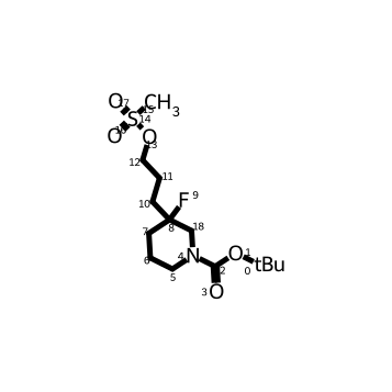 CC(C)(C)OC(=O)N1CCCC(F)(CCCOS(C)(=O)=O)C1